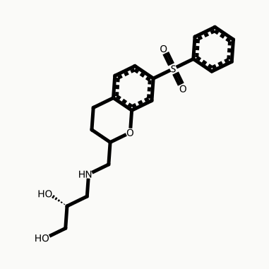 O=S(=O)(c1ccccc1)c1ccc2c(c1)OC(CNC[C@@H](O)CO)CC2